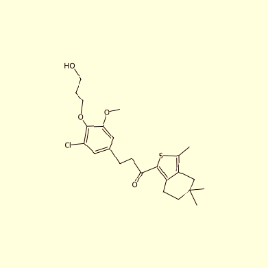 COc1cc(CCC(=O)c2sc(C)c3c2CCC(C)(C)C3)cc(Cl)c1OCCCO